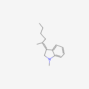 CCCC/C(C)=C1/CN(C)c2ccccc21